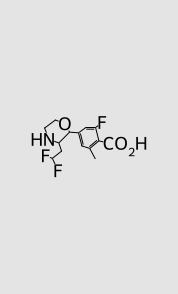 Cc1cc(C2OCCNC2CC(F)F)cc(F)c1C(=O)O